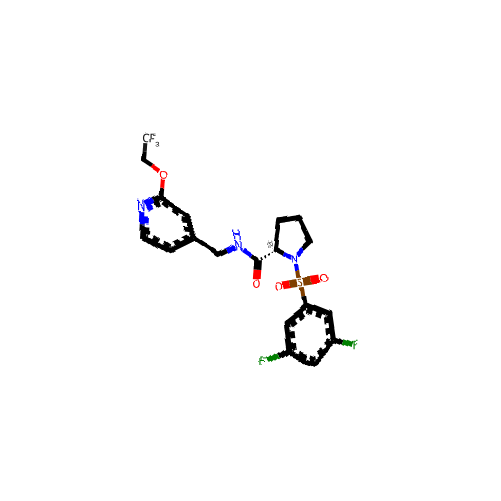 O=C(NCc1ccnc(OCC(F)(F)F)c1)[C@@H]1CCCN1S(=O)(=O)c1cc(F)cc(F)c1